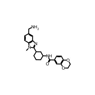 Cn1c(C2CCCC(NC(=O)c3ccc4c(c3)OCCO4)C2)nc2cc(CN)ccc21